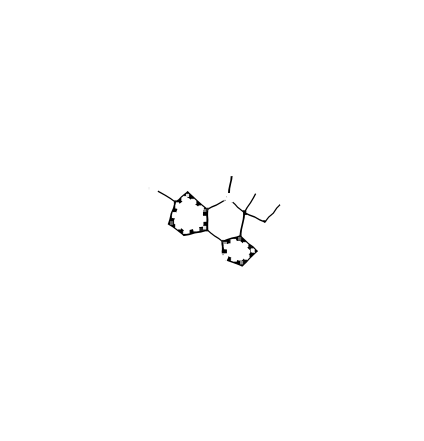 CCC1(C)c2ccsc2-c2ccc(O)cc2N1C